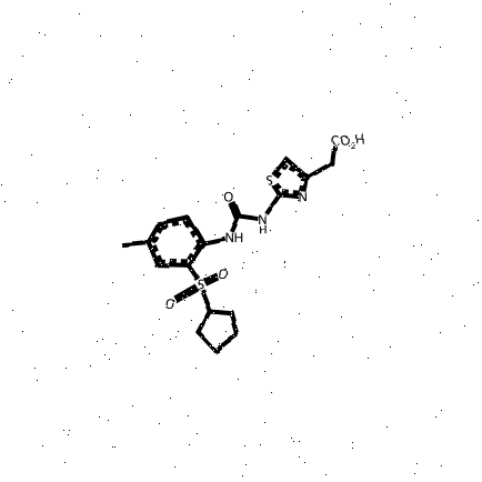 Cc1ccc(NC(=O)Nc2nc(CC(=O)O)cs2)c(S(=O)(=O)C2CCCC2)c1